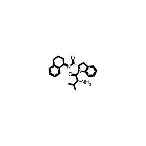 CC(C)[C@H](N)C(=O)N1c2ccccc2C[C@H]1C(=O)/N=C1\CCCc2ccccc21